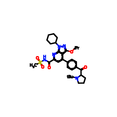 CC(C)Oc1nn(C2CCCCC2)c2nc(C(=O)NS(C)(=O)=O)cc(-c3ccc(C(=O)C4CCCN4C(C)(C)C)cc3)c12